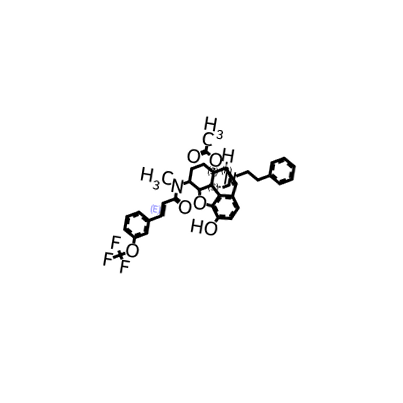 CC(=O)O[C@@]12CCC(N(C)C(=O)/C=C/c3cccc(OC(F)(F)F)c3)C3Oc4c(O)ccc5c4[C@@]31CCN(CCc1ccccc1)[C@@H]2C5